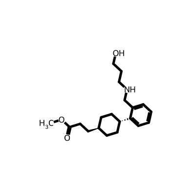 COC(=O)CC[C@H]1CC[C@H](c2ccccc2CNCCCO)CC1